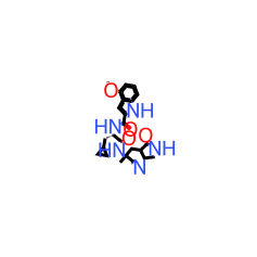 COc1cccc2[nH]c(C(=O)N[C@@H](CC3CC3)C(=O)NC(C)(C#N)CC3CCNC3=O)cc12